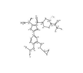 C[C@H](N)c1oc(-c2ccc(OC(F)F)c(OCC3CC3)c2)nc1C(=O)N1CCN(C(=O)N(C)C)[C@@H](C)C1